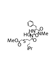 CNC(=O)[C@H](Cc1ccccc1)NC(=O)N(O)C(=O)[C@H](CCC(C)C)CSCC(=O)OC